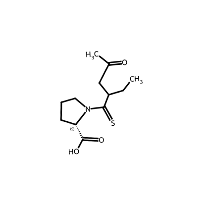 CCC(CC(C)=O)C(=S)N1CCC[C@H]1C(=O)O